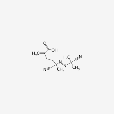 C=C(CCC(C)(C#N)N=NC(C)(C)C#N)C(=O)O